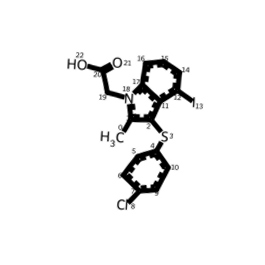 Cc1c(Sc2ccc(Cl)cc2)c2c(I)cccc2n1CC(=O)O